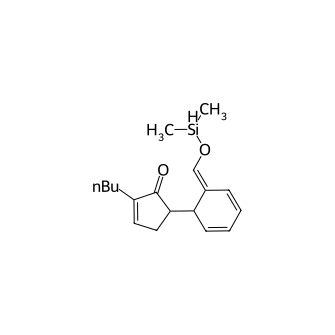 CCCCC1=CCC(C2C=CC=CC2=CO[SiH](C)C)C1=O